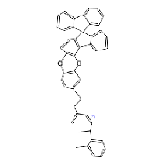 C=C(/C=C\C(C)c1ccccc1C)CCc1ccc2c(c1)Oc1c(ccc3c1-c1ccccc1C31c3ccccc3-c3ccccc31)O2